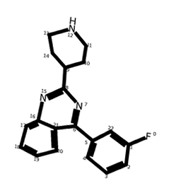 Fc1cccc(-c2nc(C3CCNCC3)nc3ccccc23)c1